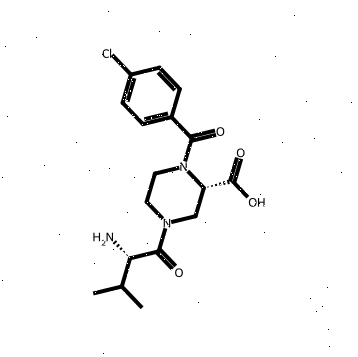 CC(C)[C@H](N)C(=O)N1CCN(C(=O)c2ccc(Cl)cc2)[C@H](C(=O)O)C1